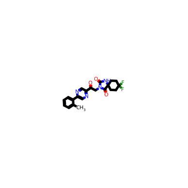 Cc1ccccc1-c1cnc(C(=O)CN2C(=O)NC3(CCC(F)(F)CC3)C2=O)cn1